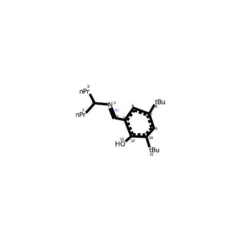 CCCC(CCC)/N=C/c1cc(C(C)(C)C)cc(C(C)(C)C)c1O